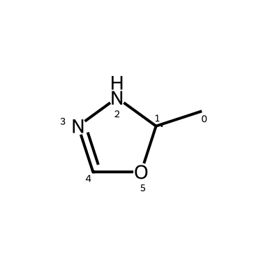 C[C]1NN=CO1